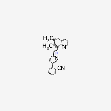 C[C@H]1[C@H](/C=C/c2ccc(-c3ccccc3C#N)cn2)c2ncccc2C[C@@H]1C